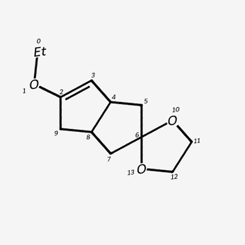 CCOC1=CC2CC3(CC2C1)OCCO3